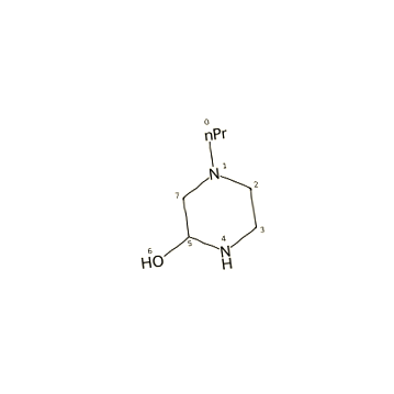 [CH2]CCN1CCNC(O)C1